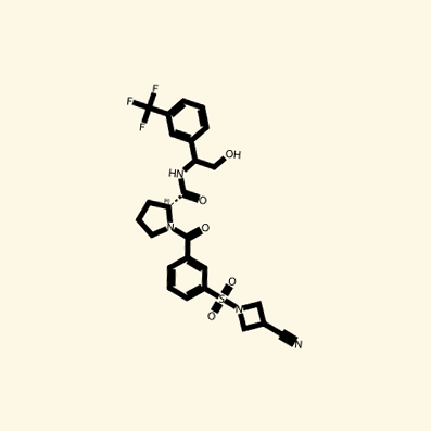 N#CC1CN(S(=O)(=O)c2cccc(C(=O)N3CCC[C@@H]3C(=O)NC(CO)c3cccc(C(F)(F)F)c3)c2)C1